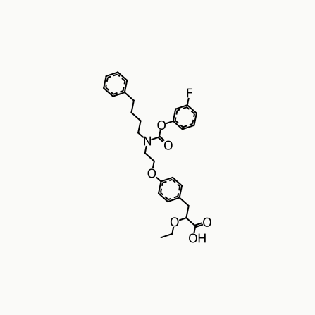 CCOC(Cc1ccc(OCCN(CCCCc2ccccc2)C(=O)Oc2cccc(F)c2)cc1)C(=O)O